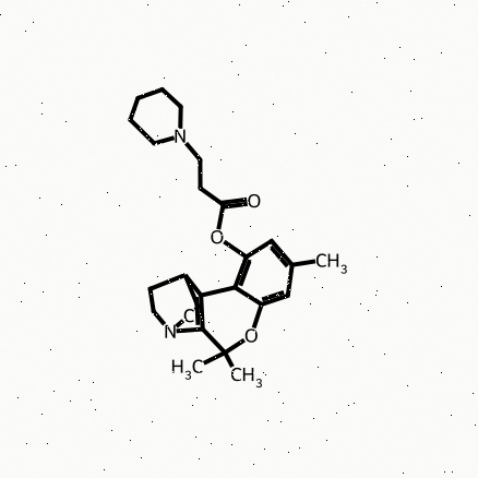 Cc1cc(OC(=O)CCN2CCCCC2)c2c(c1)OC(C)(C)C1=C2C2CCN1CC2